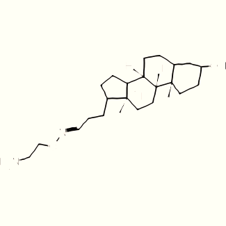 C[C@]12CCC(O)CC1CC[C@@H]1[C@H]2CC[C@]2(C)C(CC/C=N/OCCN)CC[C@@H]12